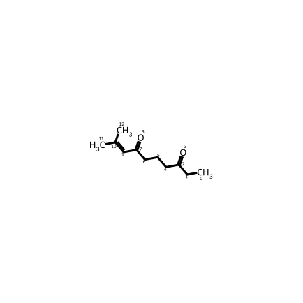 CCC(=O)CCCC(=O)C=C(C)C